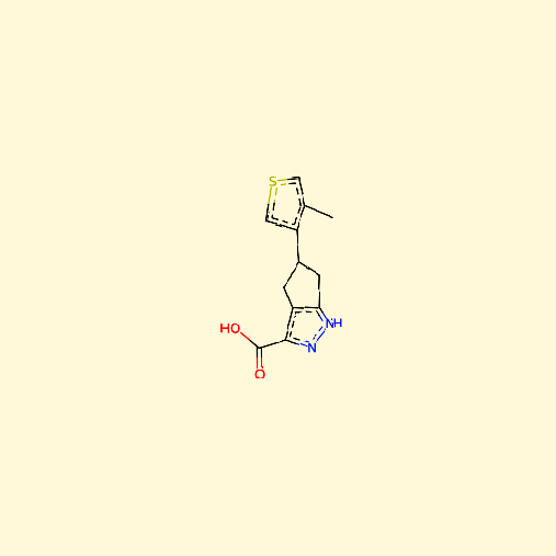 Cc1cscc1C1Cc2[nH]nc(C(=O)O)c2C1